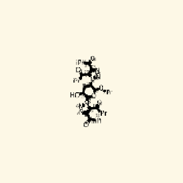 CC(C)OC1OC(n2nnc(C(=O)C(C)C)c2C(=O)C(C)C)C(O)CC1n1nnc(C(=O)C(C)C)c1C(=O)C(C)C